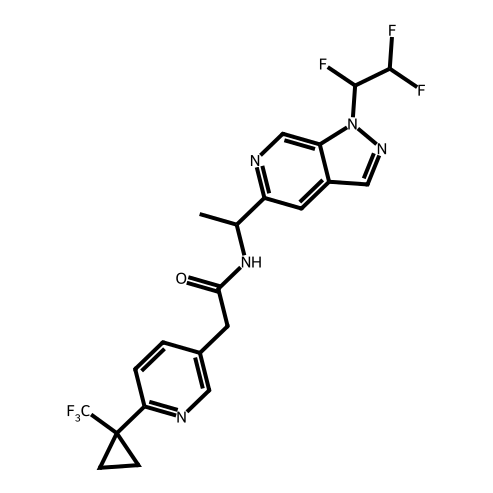 CC(NC(=O)Cc1ccc(C2(C(F)(F)F)CC2)nc1)c1cc2cnn(C(F)C(F)F)c2cn1